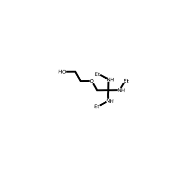 CCNC(COCCO)(NCC)NCC